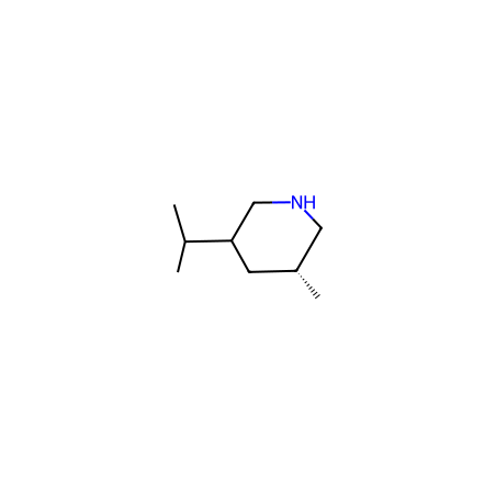 CC(C)C1CNC[C@H](C)C1